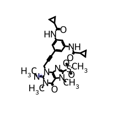 C/N=c1/n(C)c(=O)c2c(nc(S(C)(=O)=O)n2C)n1CC#Cc1cc(NC(=O)C2CC2)cc(NC(=O)C2CC2)c1